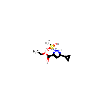 CCOC(=O)c1cc(C2CC2)nn1S(C)(=O)=O